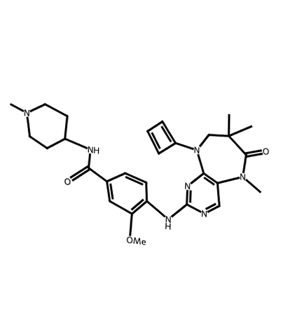 COc1cc(C(=O)NC2CCN(C)CC2)ccc1Nc1ncc2c(n1)N(C1=CC=C1)CC(C)(C)C(=O)N2C